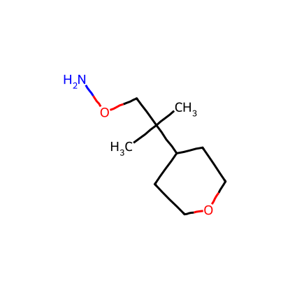 CC(C)(CON)C1CCOCC1